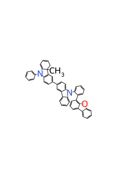 CC12CC=CC=C1N(c1ccccc1)c1ccc(-c3ccc4c(c3)c3ccccc3n4-c3ccccc3-c3cccc4c3oc3ccccc34)cc12